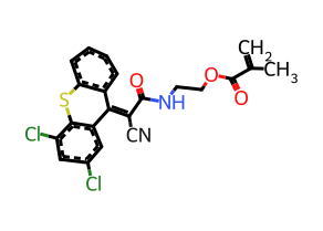 C=C(C)C(=O)OCCNC(=O)/C(C#N)=C1\c2ccccc2Sc2c(Cl)cc(Cl)cc21